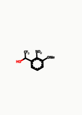 COc1cccc(C(O)C(F)(F)F)c1[N+](=O)[O-]